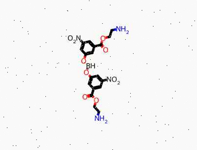 NCCOC(=O)c1cc(OBOc2cc(C(=O)OCCN)cc([N+](=O)[O-])c2)cc([N+](=O)[O-])c1